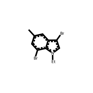 CCn1cc(Br)c2cc(C)cc(Br)c21